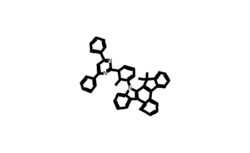 CC1C(n2c3ccccc3c3c4ccccc4c4c(c32)C(C)(C)c2ccccc2-4)=CC=CC1c1nc(-c2ccccc2)cc(-c2ccccc2)n1